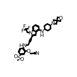 CS(=O)(=O)c1ccc(NCC#Cc2cc3c(N[C@H]4CC[C@H](N5CC6(COC6)C5)CC4)cccc3n2CC(F)(F)F)c(OCC#N)c1